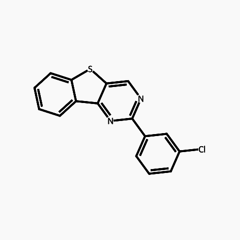 Clc1cccc(-c2ncc3sc4ccccc4c3n2)c1